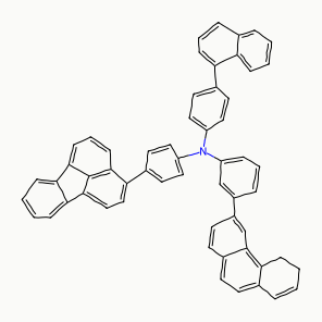 C1=Cc2ccc3ccc(-c4cccc(N(c5ccc(-c6cccc7ccccc67)cc5)c5ccc(-c6ccc7c8c(cccc68)-c6ccccc6-7)cc5)c4)cc3c2CC1